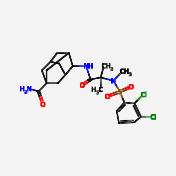 CN(C(C)(C)C(=O)NC1C2CC3CC1CC(C(N)=O)(C3)C2)S(=O)(=O)c1cccc(Cl)c1Cl